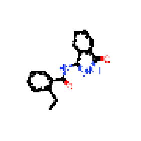 CCc1ccccc1C(=O)Nc1n[nH]c(=O)c2ccccc12